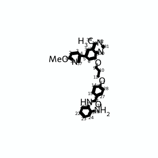 COc1ccc(-c2cc(OCCCOc3ccc(C(=O)Nc4ccccc4N)cc3)c3ncnc(C)c3c2)cn1